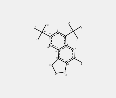 Cc1cc2c(C(C)(C)C)cc(C(C)(C)C)nc2c2c1OCC2